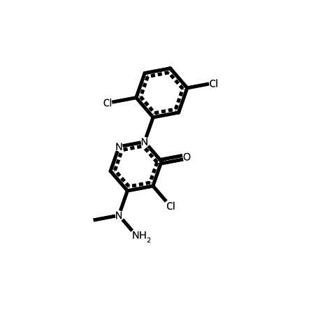 CN(N)c1cnn(-c2cc(Cl)ccc2Cl)c(=O)c1Cl